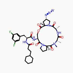 C[C@@H]1NC(=O)[C@H](C)N(C)C(=O)[C@@H]2CCCN2C(=O)[C@@H](NC(=O)[C@H](Cc2cc(F)cc(F)c2)NC(=O)CCC2CCCCC2)COC(=O)[C@@H]2C[C@H](N=[N+]=[N-])CN2C1=O